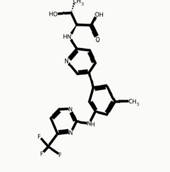 Cc1cc(Nc2nccc(C(F)(F)F)n2)cc(-c2ccc(N[C@H](C(=O)O)[C@@H](C)O)nc2)c1